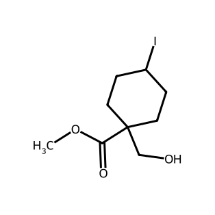 COC(=O)C1(CO)CCC(I)CC1